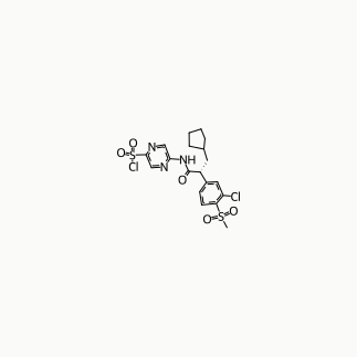 CS(=O)(=O)c1ccc([C@@H](CC2CCCC2)C(=O)Nc2cnc(S(=O)(=O)Cl)cn2)cc1Cl